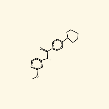 COc1cccc([C@@H](C)C(=O)c2ccc(C3CCCCC3)cc2)c1